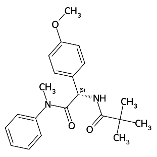 COc1ccc([C@H](NC(=O)C(C)(C)C)C(=O)N(C)c2ccccc2)cc1